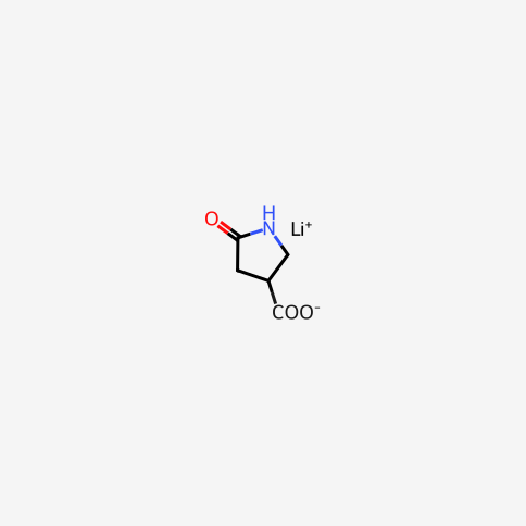 O=C1CC(C(=O)[O-])CN1.[Li+]